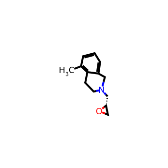 Cc1cccc2c1CCN(C[C@@H]1CO1)C2